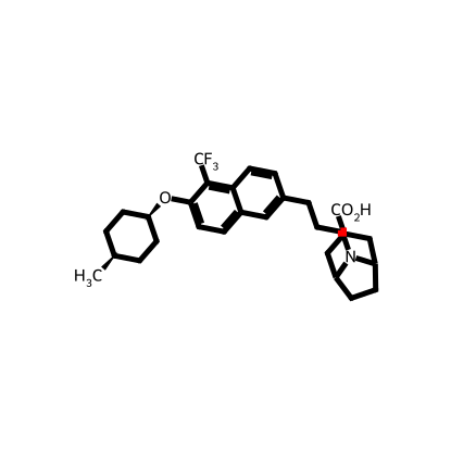 C[C@H]1CC[C@@H](Oc2ccc3cc(CCCN4C5CCC4CC(C(=O)O)C5)ccc3c2C(F)(F)F)CC1